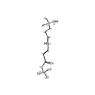 CC[Si](CC)(CC)OC(=O)CCNCCC[Si](C)(C)OC